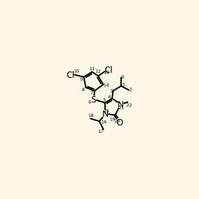 CC(C)Cc1c(Sc2cc(Cl)cc(Cl)c2)n(C(C)C)c(=O)n1C